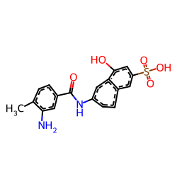 Cc1ccc(C(=O)Nc2ccc3cc(S(=O)(=O)O)cc(O)c3c2)cc1N